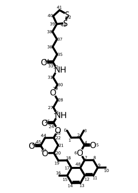 CCC(C)C(=O)OC1CC(C)C=C2C=CC(C)C(CCC3CC(OC(=O)NCCOCCNC(=O)CCCCC4CCSS4)CC(=O)O3)C21